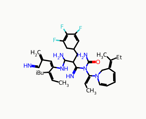 C=C(C=N)/C=C(NC(N)C(CC1C=C(F)C(F)=C(F)C1)C(=N)N(C(N)=O)/C(=C/C)N1C=CC=C/C(=C(/C)CC)C1)\C(=C/C)C(C)CC